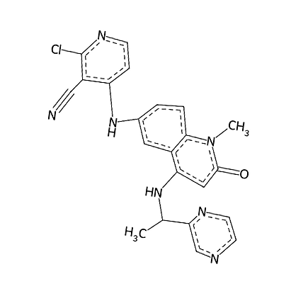 CC(Nc1cc(=O)n(C)c2ccc(Nc3ccnc(Cl)c3C#N)cc12)c1cnccn1